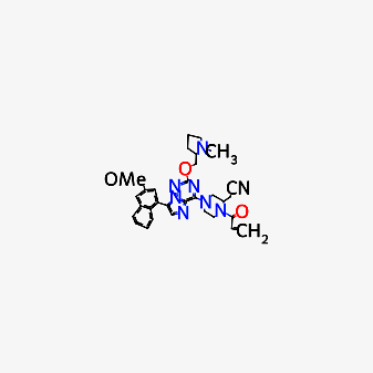 C=CC(=O)N1CCN(c2nc(OCC3CCCN3C)nn3c(-c4cc(OC)cc5ccccc45)cnc23)CC1CC#N